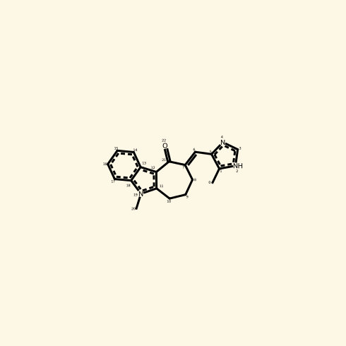 Cc1[nH]cnc1C=C1CCCc2c(c3ccccc3n2C)C1=O